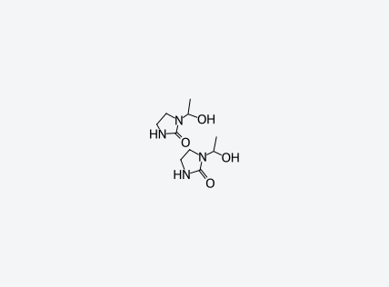 CC(O)N1CCNC1=O.CC(O)N1CCNC1=O